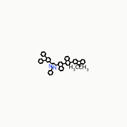 CC1(C)c2ccccc2-c2ccc(-c3ccc(-c4ccc(-c5cc(-c6ccc(-c7ccccc7)c(-c7ccccc7)c6)nc(-c6ccccc6)n5)c5ccccc45)c4ccccc34)cc21